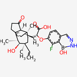 C=C[C@]1(C)C[C@@H](C(Oc2ccc3c(c2F)B(O)NN=C3)C(=O)O)[C@@]2(C)[C@H](C)CC[C@]3(CCC(=O)[C@H]32)[C@@H](C)[C@@H]1O